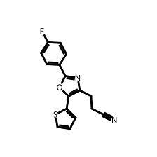 N#CCCc1nc(-c2ccc(F)cc2)oc1-c1cccs1